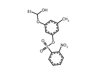 CCC(O)Oc1cc(C)cc(OS(=O)(=O)c2ccccc2[N+](=O)[O-])c1